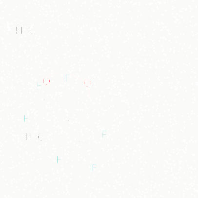 CCC(=O)OC(CC1CCCCC1)C(C)(C(F)(F)F)C(F)(F)F